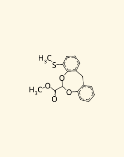 COC(=O)C1Oc2ccccc2Cc2cccc(SC)c2O1